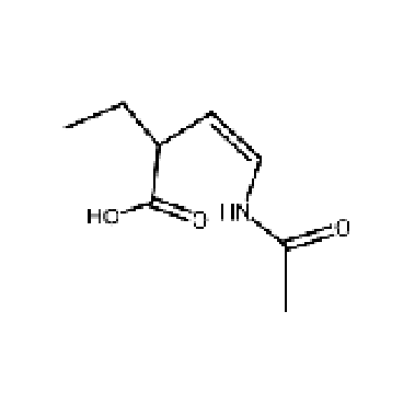 CCC(/C=C\NC(C)=O)C(=O)O